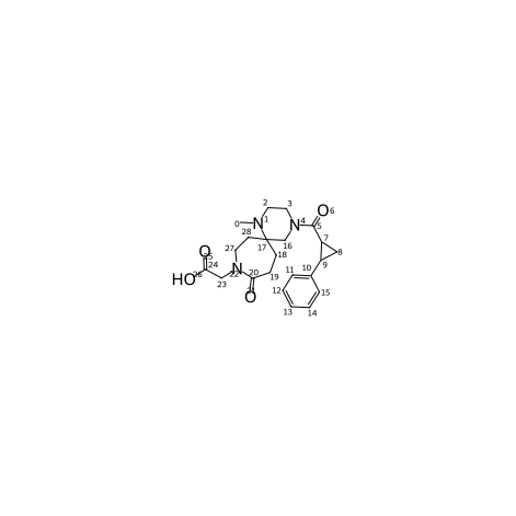 CN1CCN(C(=O)C2CC2c2ccccc2)CC12CCC(=O)N(CC(=O)O)CC2